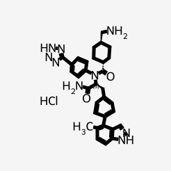 Cc1ccc2[nH]ncc2c1-c1ccc(C[C@@H](C(N)=O)N(c2ccc(-c3nn[nH]n3)cc2)C(=O)[C@H]2CC[C@H](CN)CC2)cc1.Cl